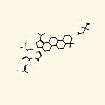 C=C/C(=N\C=C(/C)OC)n1c(=O)cc([C@@]23CC[C@]4(C)C(CC[C@@H]5[C@@]6(C)CC[C@H](OC(=O)CC(C)(C)C(=O)O)C(C)(C)[C@@H]6CC[C@]54C)C2=C(C(C)C)[C@@H](O)C3)n1CCN(C)C